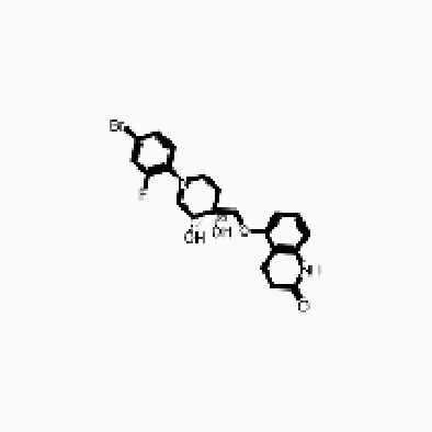 O=C1CCc2c(cccc2OC[C@]2(O)CCN(c3ccc(Br)cc3F)C[C@H]2O)N1